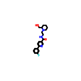 O=C(NCCN1CCCCC1CO)c1ccc(-c2cccc(F)c2)nc1